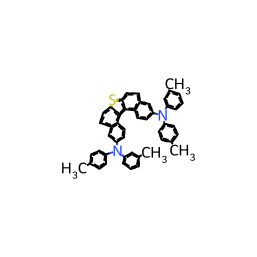 Cc1ccc(N(c2cccc(C)c2)c2ccc3c(ccc4sc5ccc6cc(N(c7ccc(C)cc7)c7cccc(C)c7)ccc6c5c43)c2)cc1